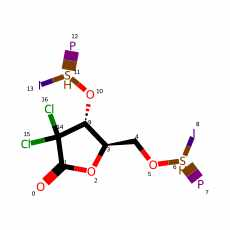 O=C1O[C@H](CO[SH](#P)I)[C@@H](O[SH](#P)I)C1(Cl)Cl